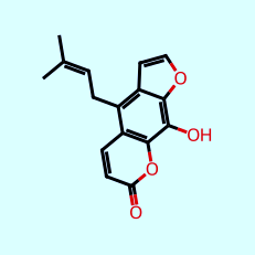 CC(C)=CCc1c2ccoc2c(O)c2oc(=O)ccc12